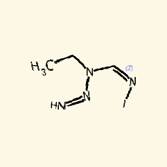 CCN(/C=N\I)N=N